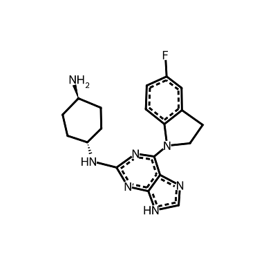 N[C@H]1CC[C@H](Nc2nc(N3CCc4cc(F)ccc43)c3nc[nH]c3n2)CC1